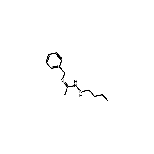 CCCCNNC(C)=NCc1ccccc1